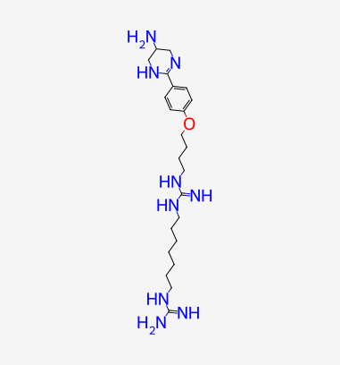 N=C(N)NCCCCCCCNC(=N)NCCCCOc1ccc(C2=NCC(N)CN2)cc1